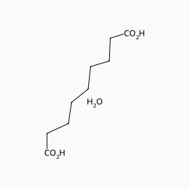 O.O=C(O)CCCCCCCC(=O)O